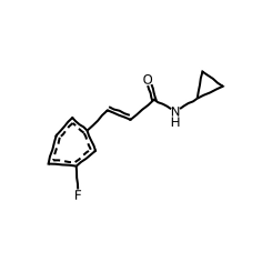 O=C(C=Cc1cccc(F)c1)NC1CC1